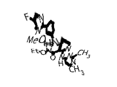 CCONC(=O)c1c(Nc2cccc(-c3ncc(F)cn3)c2OC)ccnc1Nc1cc(C)nc(C)n1